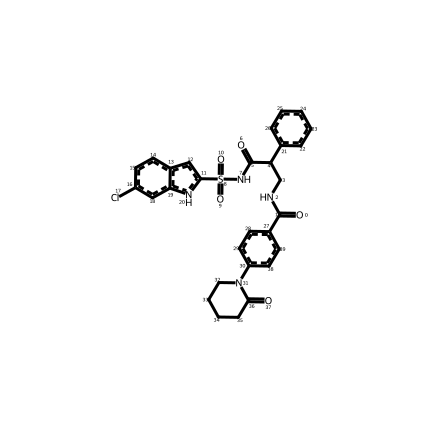 O=C(NCC(C(=O)NS(=O)(=O)c1cc2ccc(Cl)cc2[nH]1)c1ccccc1)c1ccc(N2CCCCC2=O)cc1